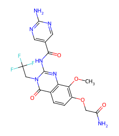 COc1c(OCC(N)=O)ccc2c(=O)n(CC(F)(F)F)c(NC(=O)c3cnc(N)nc3)nc12